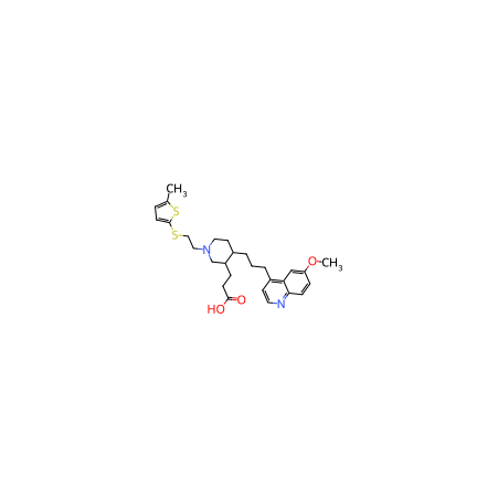 COc1ccc2nccc(CCCC3CCN(CCSc4ccc(C)s4)CC3CCC(=O)O)c2c1